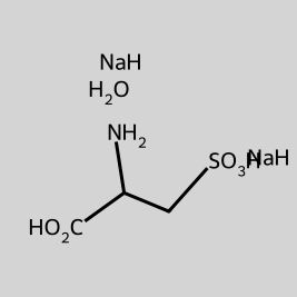 NC(CS(=O)(=O)O)C(=O)O.O.[NaH].[NaH]